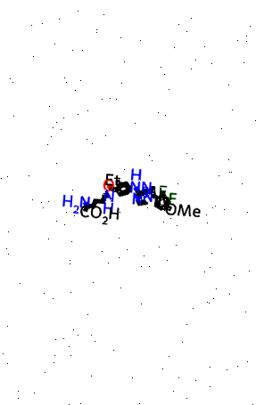 CCc1cc(Nc2nccn3c(-c4ccc(OC)c(F)c4F)cnc23)ccc1C(=O)NCCCCC(N)C(=O)O